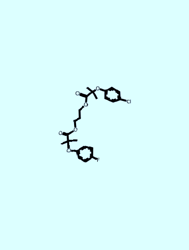 CC(C)(Oc1ccc(F)cc1)C(=O)OCCCOC(=O)C(C)(C)Oc1ccc(Cl)cc1